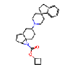 O=C(OC1CCC1)N1C2CCC3CC(N4CCC5(CCc6ccccc65)CC4)CCC321